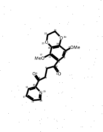 COc1cc(C(=O)CCC(=O)c2ccccn2)c(OC)c2c1OCCO2